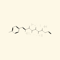 C=CCC(O)C(O)C(O)C(O)C(O)C(O)=Cc1ccc(C)cc1